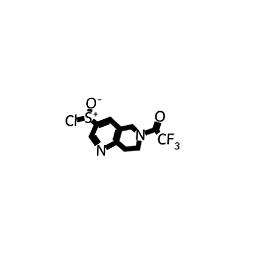 O=C(N1CCc2ncc([S+]([O-])Cl)cc2C1)C(F)(F)F